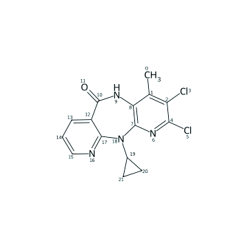 Cc1c(Cl)c(Cl)nc2c1NC(=O)c1cccnc1N2C1CC1